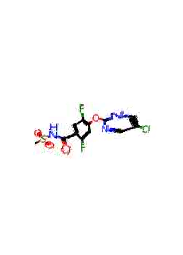 CS(=O)(=O)NC(=O)c1cc(F)c(Oc2ncc(Cl)cn2)cc1F